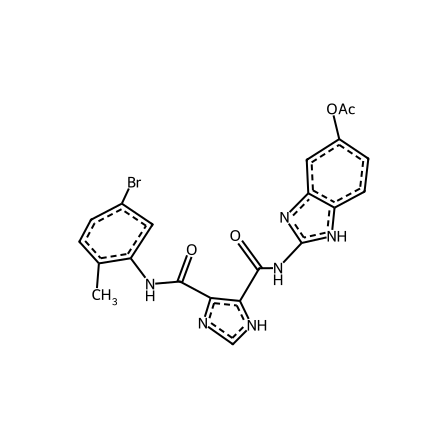 CC(=O)Oc1ccc2[nH]c(NC(=O)c3[nH]cnc3C(=O)Nc3cc(Br)ccc3C)nc2c1